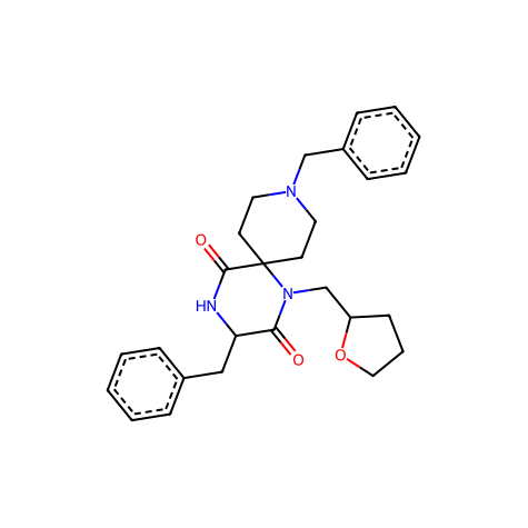 O=C1C(Cc2ccccc2)NC(=O)C2(CCN(Cc3ccccc3)CC2)N1CC1CCCO1